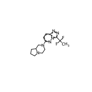 CC(F)(F)c1nnc2ccc(N3CCN4CCCC4C3)nn12